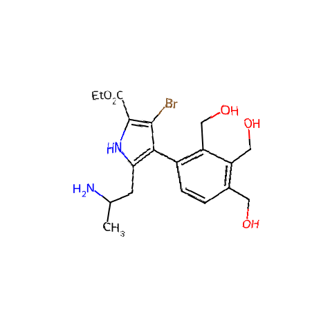 CCOC(=O)c1[nH]c(CC(C)N)c(-c2ccc(CO)c(CO)c2CO)c1Br